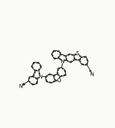 N#Cc1ccc2sc3cc4c5ccccc5n(-c5ccc6oc7ccc(-n8c9ccccc9c9cc(C#N)ccc98)cc7c6c5)c4cc3c2c1